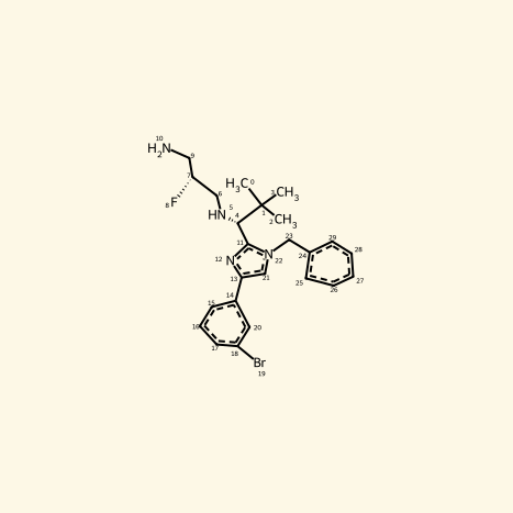 CC(C)(C)[C@@H](NC[C@H](F)CN)c1nc(-c2cccc(Br)c2)cn1Cc1ccccc1